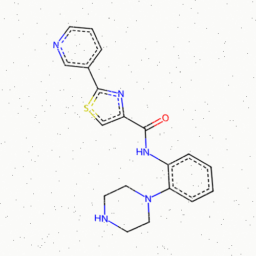 O=C(Nc1ccccc1N1CCNCC1)c1csc(-c2cccnc2)n1